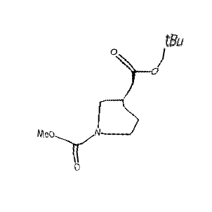 COC(=O)N1CC[C@H](C(=O)OC(C)(C)C)C1